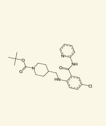 CC(C)(C)OC(=O)N1CCC(CNc2ccc(Cl)cc2C(=O)Nc2ccccn2)CC1